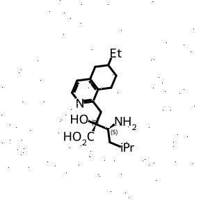 CCC1CCc2c(ccnc2C[C@](O)(C(=O)O)[C@@H](N)CC(C)C)C1